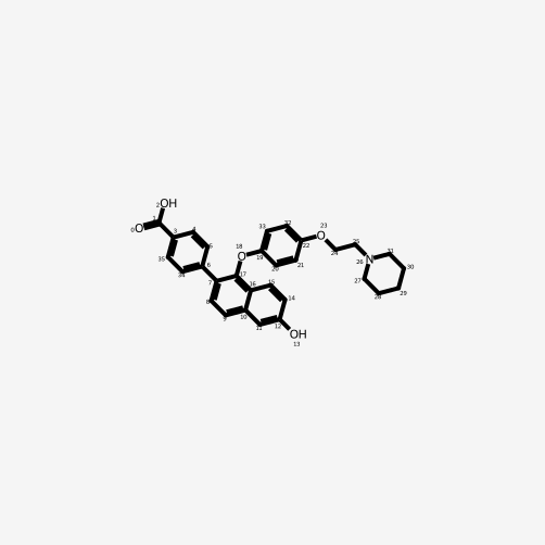 O=C(O)c1ccc(-c2ccc3cc(O)ccc3c2Oc2ccc(OCCN3CCCCC3)cc2)cc1